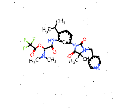 CC(C)c1ccc(N2C(=O)N(Cc3ccncc3)C(C)(C)C2=O)cc1NC(=O)C(OC(=O)C(F)(F)F)N(C)C